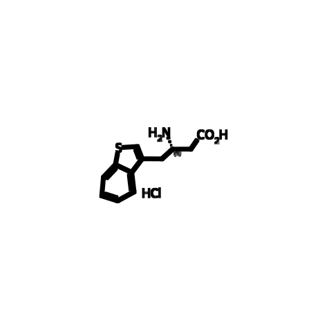 Cl.N[C@H](CC(=O)O)Cc1csc2ccccc12